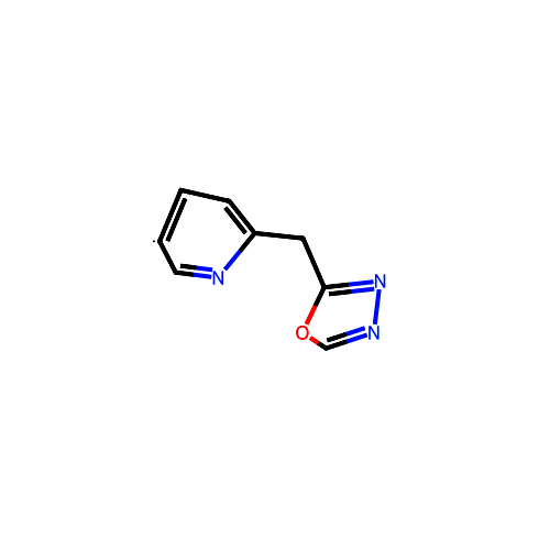 [c]1ccc(Cc2nnco2)nc1